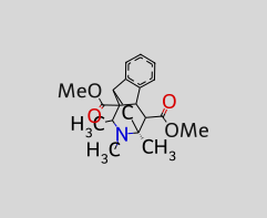 COC(=O)C1C2c3ccccc3C3C[C@]1(C)N(C)C(C)C32C(=O)OC